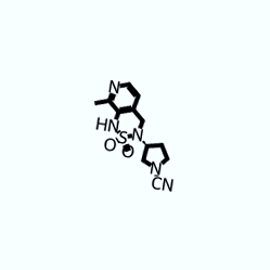 Cc1nccc2c1NS(=O)(=O)N([C@@H]1CCN(C#N)C1)C2